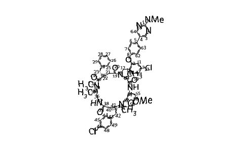 CNc1ncc(-c2ccc(Oc3cc(Cl)ccc3CN3C(=O)C[C@@H](Cc4ccccc4)C(=O)N(C)[C@@H](C)CNC(=O)C[C@H](Cc4ccc(Cl)cc4)N(C)C(=O)[C@H](COC)NC(=O)[C@@H]3C)cc2)cn1